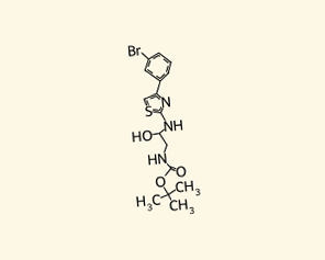 CC(C)(C)OC(=O)NCC(O)Nc1nc(-c2cccc(Br)c2)cs1